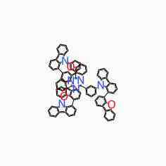 c1cc(-c2nc(-c3cccc(-n4c5ccccc5c5cccc(-c6cccc7c6oc6ccccc67)c54)c3)nc(-c3cccc(-n4c5ccccc5c5cccc(-c6cccc7c6oc6ccccc67)c54)c3)n2)cc(-n2c3ccccc3c3cccc(-c4cccc5c4oc4ccccc45)c32)c1